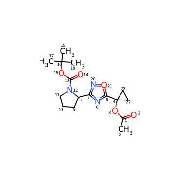 CC(=O)OC1(c2nc(C3CCCN3C(=O)OC(C)(C)C)no2)CC1